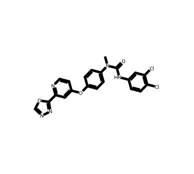 CN(C(=O)Nc1ccc(Cl)c(Cl)c1)c1ccc(Oc2ccnc(-c3nnco3)c2)cc1